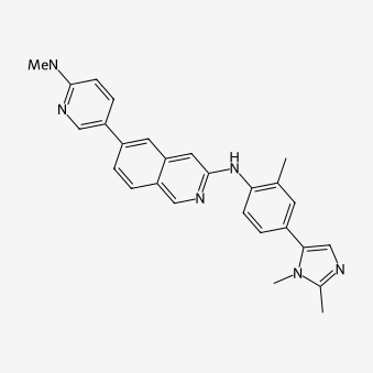 CNc1ccc(-c2ccc3cnc(Nc4ccc(-c5cnc(C)n5C)cc4C)cc3c2)cn1